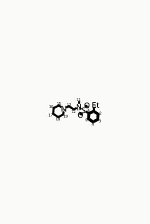 CCc1ccccc1S(=O)(=O)N(C)CCN1CCCCC1